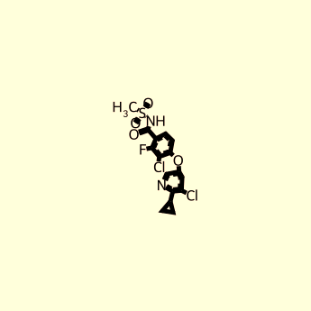 CS(=O)(=O)NC(=O)c1ccc(Oc2cnc(C3CC3)c(Cl)c2)c(Cl)c1F